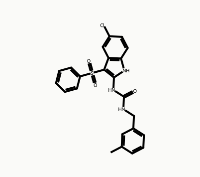 Cc1cccc(CNC(=O)Nc2[nH]c3ccc(Cl)cc3c2S(=O)(=O)c2ccccc2)c1